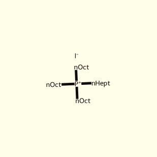 CCCCCCCC[P+](CCCCCCC)(CCCCCCCC)CCCCCCCC.[I-]